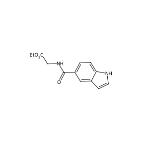 CCOC(=O)CNC(=O)c1ccc2[nH]ccc2c1